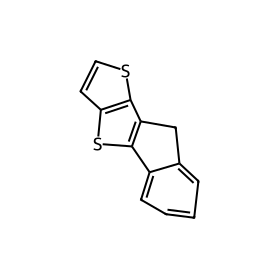 c1ccc2c(c1)Cc1c-2sc2ccsc12